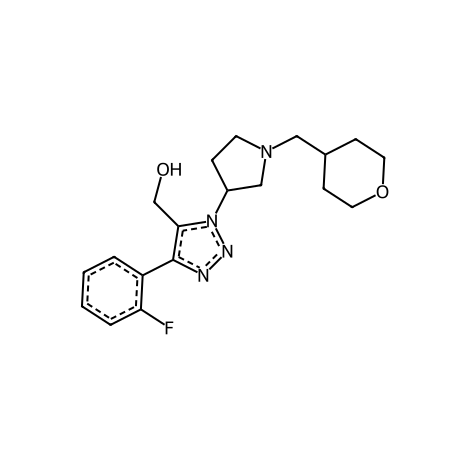 OCc1c(-c2ccccc2F)nnn1C1CCN(CC2CCOCC2)C1